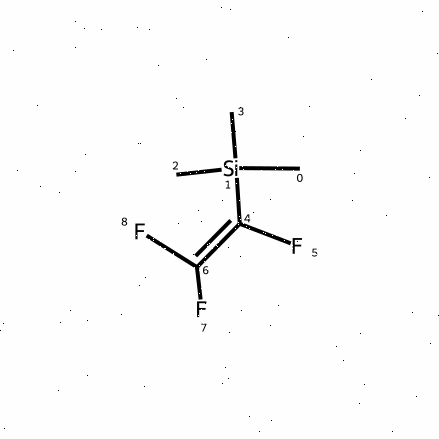 C[Si](C)(C)C(F)=C(F)F